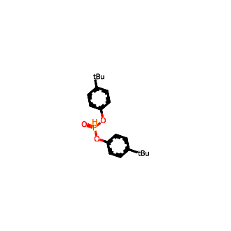 CC(C)(C)c1ccc(O[PH](=O)Oc2ccc(C(C)(C)C)cc2)cc1